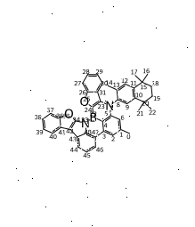 Cc1cc2c3c(c1)N(c1cc4c(cc1C)C(C)(C)CCC4(C)C)c1c(oc4ccccc14)B3n1c3oc4ccccc4c3c3cccc-2c31